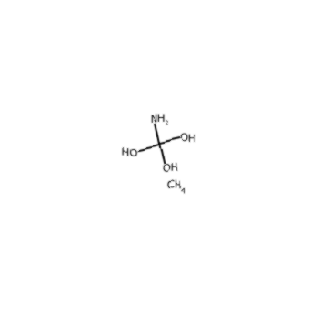 C.NC(O)(O)O